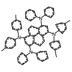 Cc1ccc(N(c2ccc(C)cc2)c2cc(N(c3ccccc3)c3ccccc3)c3ccc4c(N(c5ccc(C)cc5)c5ccc(C)cc5)cc(N(c5ccccc5)c5ccccc5)c5ccc2c3c54)cc1